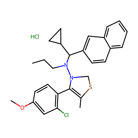 CCCN(C(c1ccc2ccccc2c1)C1CC1)N1CSC(C)=C1c1ccc(OC)cc1Cl.Cl